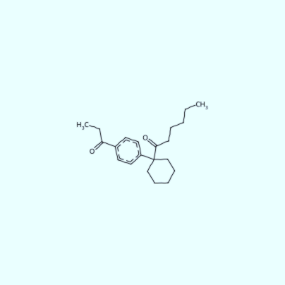 CCCCCC(=O)C1(c2ccc(C(=O)CC)cc2)CCCCC1